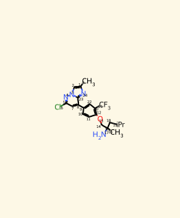 Cc1cn2nc(Cl)cc(-c3ccc(OCC(C)(N)CC(C)C)c(C(F)(F)F)c3)c2n1